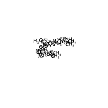 C[C@H]1CCC(c2ccc3sc(C4CCN(C(=O)OC(C)(C)C)CC4)nc3c2)N(C(=O)C(=O)Nc2cncc3cnn(COCC[Si](C)(C)C)c23)C1